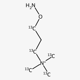 [13CH3][N+]([13CH3])([13CH3])[13CH2]C[13CH2]ON